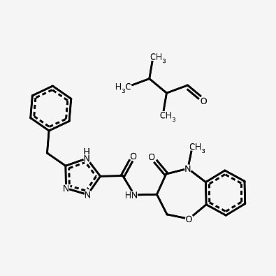 CC(C)C(C)C=O.CN1C(=O)C(NC(=O)c2nnc(Cc3ccccc3)[nH]2)COc2ccccc21